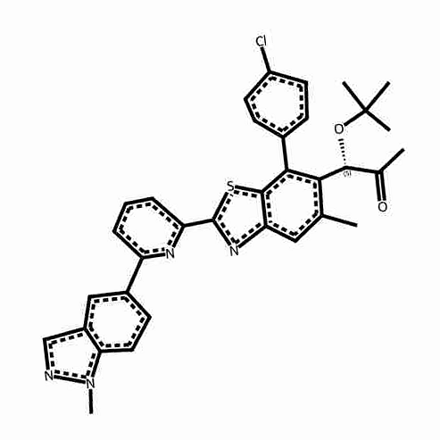 CC(=O)[C@@H](OC(C)(C)C)c1c(C)cc2nc(-c3cccc(-c4ccc5c(cnn5C)c4)n3)sc2c1-c1ccc(Cl)cc1